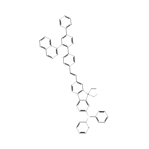 CCC1(CC)c2cc(/C=C/c3ccc(-c4ccc(-c5ccccc5)cc4-c4cccc5ccccc45)cc3)ccc2-c2ccc(N(c3ccccc3)C3C=CC=CC3)cc21